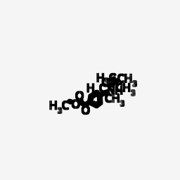 CCOC(=O)C(=O)c1ccc(C(C)(C)NC(=O)C(C)(C)C)cc1